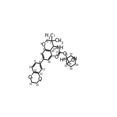 CC1(C)COc2cc(-c3ccc4c(c3)OCCO4)ccc2C1NC(=O)O[C@H]1CN2CCC1CC2